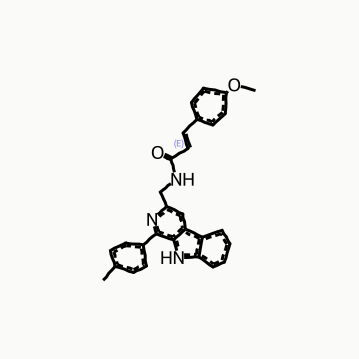 COc1ccc(/C=C/C(=O)NCc2cc3c([nH]c4ccccc43)c(-c3ccc(C)cc3)n2)cc1